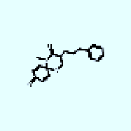 CN1C(=O)C(CCCc2ccccc2)COC12C=CC(=O)C=C2